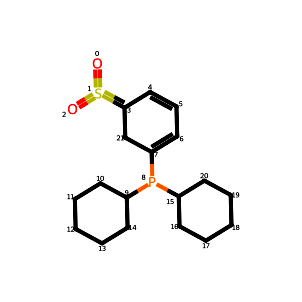 O=S(=O)=C1C=CC=C(P(C2CCCCC2)C2CCCCC2)C1